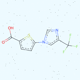 O=C(O)c1ccc(-n2cnc(C(F)(F)F)c2)s1